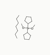 CCCCCCC.CO[Si](OC)(C1CCCC1)C1CCCC1